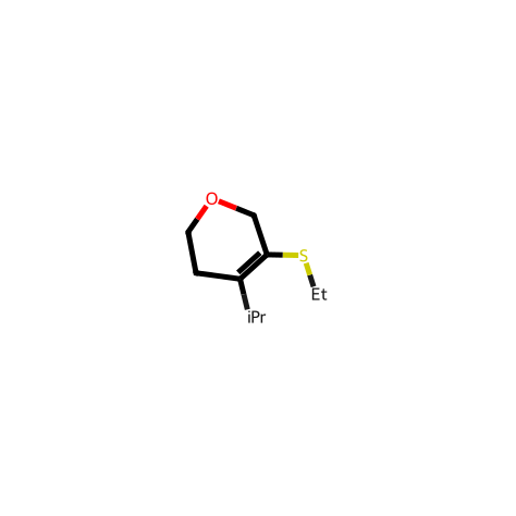 CCSC1=C(C(C)C)CCOC1